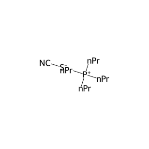 CCC[P+](CCC)(CCC)CCC.N#C[S-]